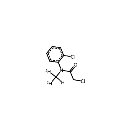 [2H]C([2H])([2H])N(C(=O)CCl)c1ccccc1Cl